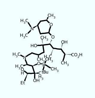 CC[C@@H](O)[C@@](C)(O)[C@H](O[Si](C)(C)C(C)(C)C)[C@@H](C)N(C)C[C@H](C)C[C@@](C)(O)[C@H](OC1C[C@@H](N(C)C)C[C@@H](C)O1)[C@@H](C)[C@H](O)[C@@H](C)C(=O)O